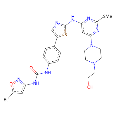 CCc1cc(NC(=O)Nc2ccc(-c3cnc(Nc4cc(N5CCN(CCO)CC5)nc(SC)n4)s3)cc2)no1